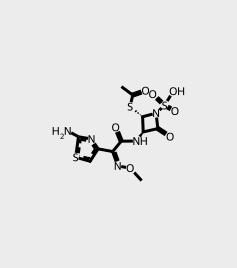 CO/N=C(\C(=O)N[C@@H]1C(=O)N(S(=O)(=O)O)[C@H]1SC(C)=O)c1csc(N)n1